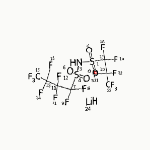 O=S(=O)(NS(=O)(=O)C(F)(F)C(F)(F)C(F)(F)C(F)(F)F)C(F)(F)C(F)(F)C(F)(F)F.[LiH]